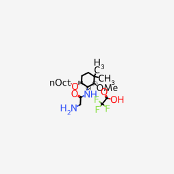 CCCCCCCCO[C@@H]1CCC(C)(C)[C@H](OC)[C@H]1NC(=O)CN.O=C(O)C(F)(F)F